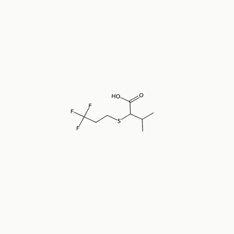 CC(C)C(SCCC(F)(F)F)C(=O)O